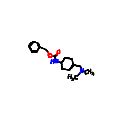 CN(C)CC1CCC(NC(=O)OCc2ccccc2)CC1